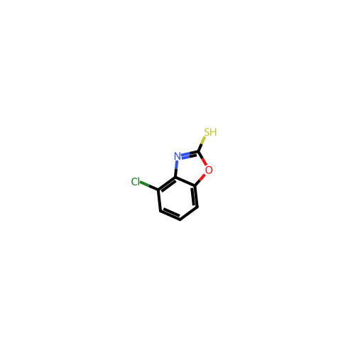 Sc1nc2c(Cl)cccc2o1